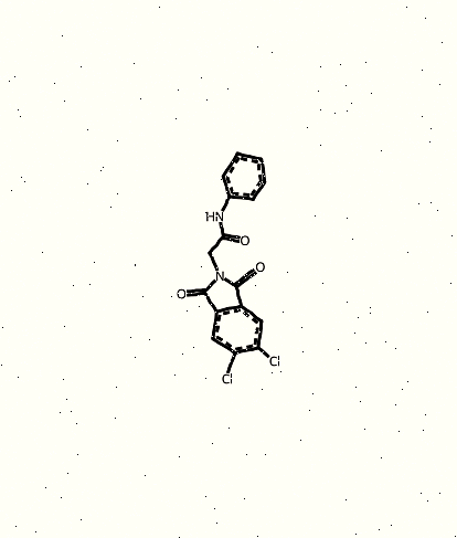 O=C(CN1C(=O)c2cc(Cl)c(Cl)cc2C1=O)Nc1ccccc1